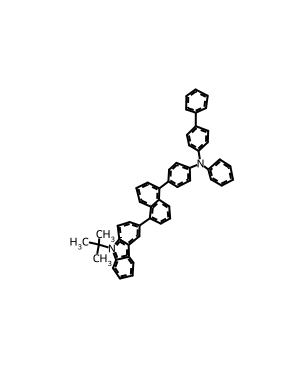 CC(C)(C)n1c2ccccc2c2cc(-c3cccc4c(-c5ccc(N(c6ccccc6)c6ccc(-c7ccccc7)cc6)cc5)cccc34)ccc21